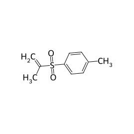 C=C(C)S(=O)(=O)c1ccc(C)cc1